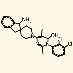 CC1=NC(N2CCC3(CC2)Cc2ccccc2[C@H]3N)=C(C)C(O)N1c1cccc(Cl)c1Cl